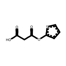 O=C(O)CC(=O)Oc1cccs1